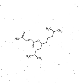 CC(C)CCCC(CCC(C)C)OC(=O)C=CC(=O)O